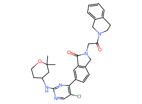 CC1(C)CC(Nc2ncc(Cl)c(-c3ccc4c(c3)C(=O)N(CC(=O)N3CCc5ccccc5C3)C4)n2)CCO1